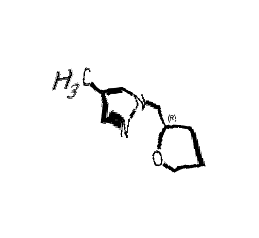 Cc1cnn(C[C@H]2CCCO2)c1